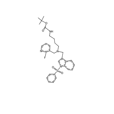 CC(C)(C)OC(=O)NCCCCN(Cc1cccnc1F)Cc1cn(S(=O)(=O)c2ccccc2)c2ccccc12